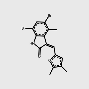 Cc1cc(C=C2C(=O)Nc3c(Br)cc(Br)c(C)c32)oc1C